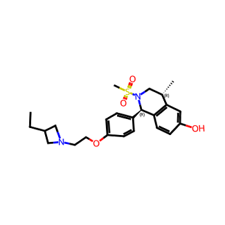 CCC1CN(CCOc2ccc([C@@H]3c4ccc(O)cc4[C@@H](C)CN3S(C)(=O)=O)cc2)C1